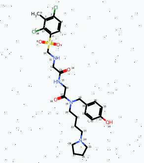 Cc1c(Cl)ccc(S(=O)(=O)CNCC(=O)NCC(=O)N(CCCCN2CCCC2)Cc2ccc(O)cc2)c1Cl